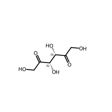 O=C(CO)[C@@H](O)[C@H](O)C(=O)CO